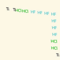 Cl.Cl.Cl.Cl.F.F.F.F.F.F.F.[Ti].[Ti].[Ti]